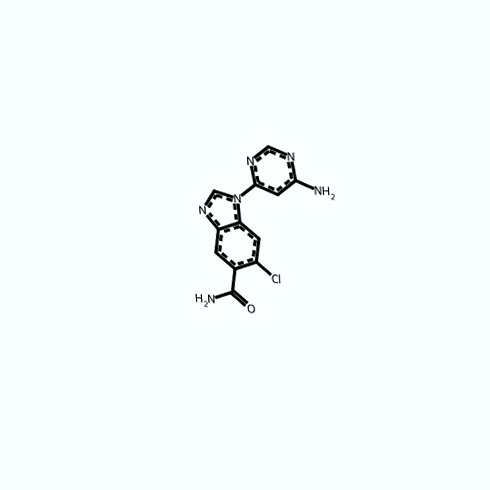 NC(=O)c1cc2ncn(-c3cc(N)ncn3)c2cc1Cl